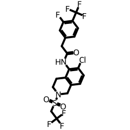 O=C(Cc1ccc(C(F)(F)F)c(F)c1)Nc1c(Cl)ccc2c1CCN(S(=O)(=O)CC(F)(F)F)C2